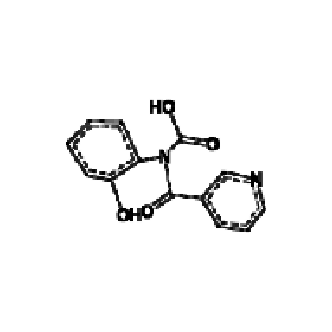 O=C(O)N(C(=O)c1cccnc1)c1ccccc1O